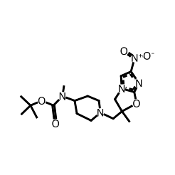 CN(C(=O)OC(C)(C)C)C1CCN(CC2(C)Cn3cc([N+](=O)[O-])nc3O2)CC1